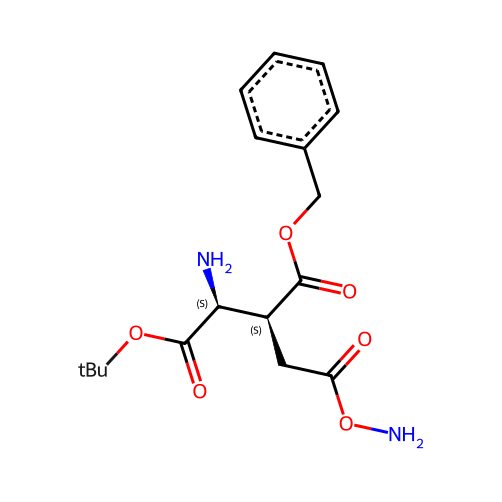 CC(C)(C)OC(=O)[C@@H](N)[C@H](CC(=O)ON)C(=O)OCc1ccccc1